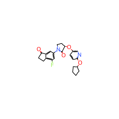 O=C1CCc2c(F)cc(N3CC[C@@H](Oc4ccc(OC5CCCC5)nc4)C3=O)cc21